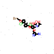 Cc1c(COc2cc(OCc3cncc(C#N)c3)c(CN(CC3CC3)C(CO)CO)cc2Cl)cccc1-c1cccc(OCCCBr)c1Cl